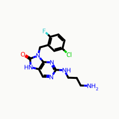 NCCCNc1ncc2[nH]c(=O)n(Cc3cc(Cl)ccc3F)c2n1